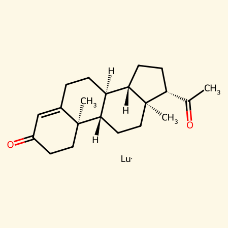 CC(=O)[C@H]1CC[C@H]2[C@@H]3CCC4=CC(=O)CC[C@]4(C)[C@H]3CC[C@]12C.[Lu]